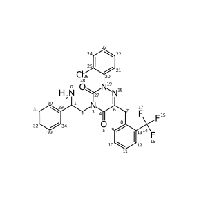 NC(Cn1c(=O)c(Cc2ccccc2C(F)(F)F)nn(-c2ccccc2Cl)c1=O)c1ccccc1